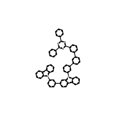 c1ccc(-c2nc(-c3ccccc3)nc(-c3cccc(-c4cccc(-c5cccc(-n6c7ccccc7c7ccc(-c8cccc(-n9c%10ccccc%10c%10ccccc%109)c8)cc76)c5)c4)c3)n2)cc1